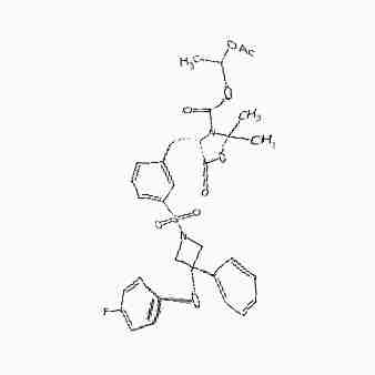 CC(=O)OC(C)OC(=O)N1[C@@H](Cc2cccc(S(=O)(=O)N3CC(Oc4ccc(F)cc4)(c4ccccc4)C3)c2)C(=O)OC1(C)C